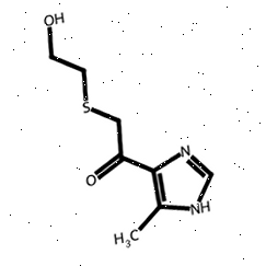 Cc1[nH]cnc1C(=O)CSCCO